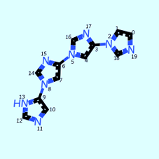 c1cn(-c2cn(-c3cn(-c4cnc[nH]4)cn3)cn2)cn1